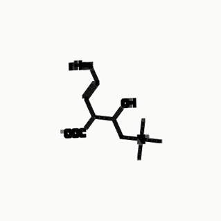 CCCCCCC=CC(C(=O)[O-])C(O)C[N+](C)(C)C